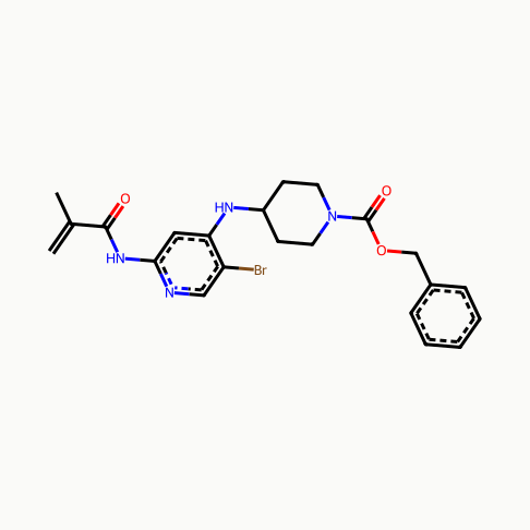 C=C(C)C(=O)Nc1cc(NC2CCN(C(=O)OCc3ccccc3)CC2)c(Br)cn1